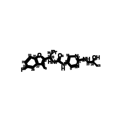 Cc1c([C@H](NC(=O)Nc2cnc(NC[C@H](C)O)nc2)C(C)C)oc2ccc(F)cc12